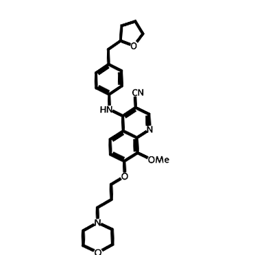 COc1c(OCCCN2CCOCC2)ccc2c(Nc3ccc(CC4CCCO4)cc3)c(C#N)cnc12